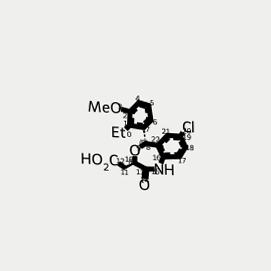 CCc1c(OC)cccc1[C@H]1O[C@H](CC(=O)O)C(=O)Nc2ccc(Cl)cc21